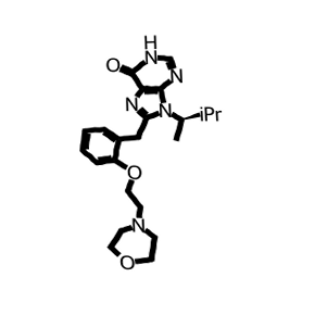 CC(C)[C@@H](C)n1c(Cc2ccccc2OCCN2CCOCC2)nc2c(=O)[nH]cnc21